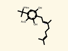 CCCCCCC(C)(C)c1cc(O)c(C/C=C(\C)CCC=C(C)C)c(O)c1OC(C)=O